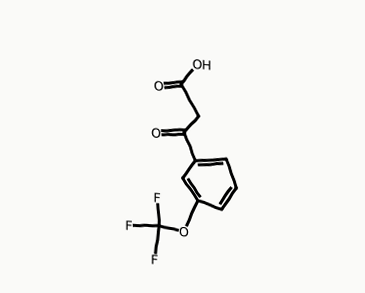 O=C(O)CC(=O)c1cccc(OC(F)(F)F)c1